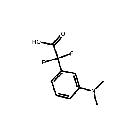 CN(C)c1cccc(C(F)(F)C(=O)O)c1